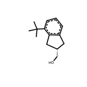 CC(C)(C)c1cccc2c1C[C@@H](CO)C2